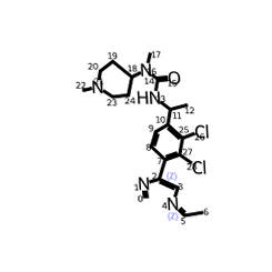 C=N/C(=C\N=C/C)c1ccc(C(C)NC(=O)N(C)C2CCN(C)CC2)c(Cl)c1Cl